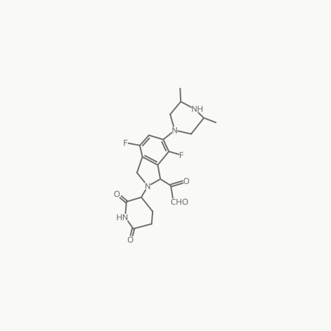 CC1CN(c2cc(F)c3c(c2F)C(C(=O)C=O)N(C2CCC(=O)NC2=O)C3)CC(C)N1